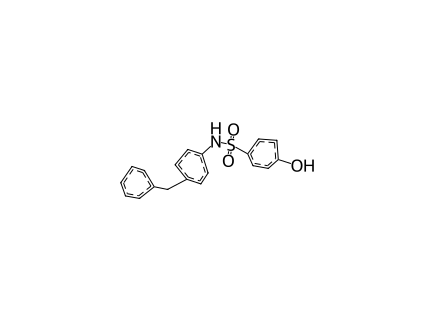 O=S(=O)(Nc1ccc(Cc2ccccc2)cc1)c1ccc(O)cc1